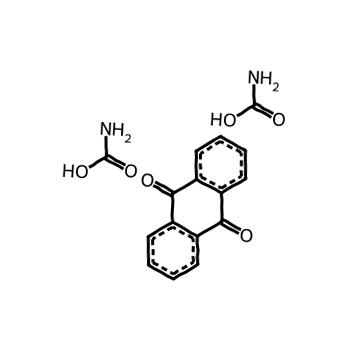 NC(=O)O.NC(=O)O.O=C1c2ccccc2C(=O)c2ccccc21